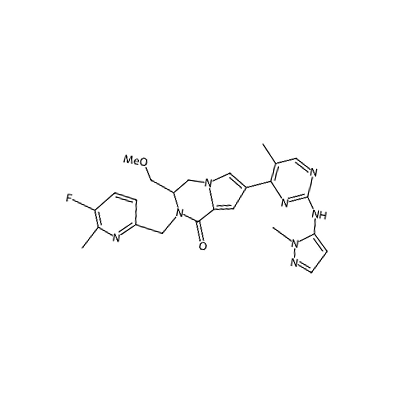 COCC1Cn2cc(-c3nc(Nc4ccnn4C)ncc3C)cc2C(=O)N1Cc1ccc(F)c(C)n1